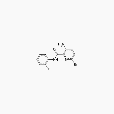 Nc1ccc(Br)nc1C(=O)Nc1ccccc1F